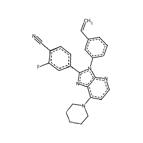 C=Cc1cccc(-n2c(-c3ccc(C#N)c(F)c3)nc3c(N4CCCCC4)ccnc32)c1